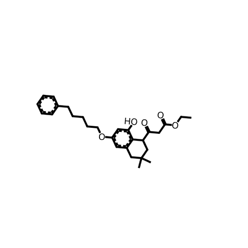 CCOC(=O)CC(=O)C1CC(C)(C)Cc2cc(OCCCCCc3ccccc3)cc(O)c21